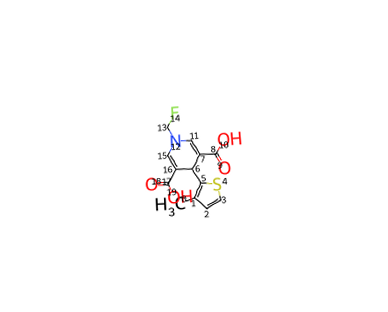 Cc1ccsc1C1C(C(=O)O)=CN(CF)C=C1C(=O)O